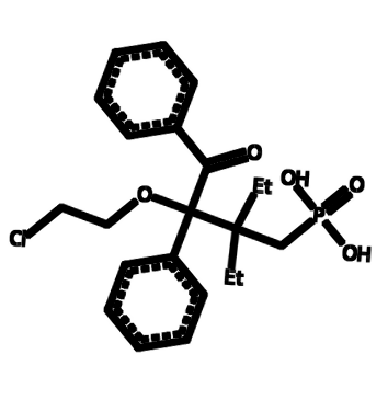 CCC(CC)(CP(=O)(O)O)C(OCCCl)(C(=O)c1ccccc1)c1ccccc1